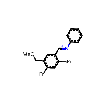 COCc1cc(/C=N/c2ccccc2)c(C(C)C)cc1C(C)C